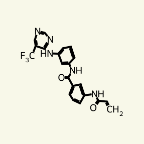 C=CC(=O)Nc1cccc(C(=O)Nc2cccc(Nc3ncncc3C(F)(F)F)c2)c1